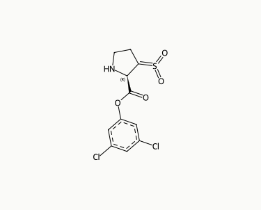 O=C(Oc1cc(Cl)cc(Cl)c1)[C@H]1NCCC1=S(=O)=O